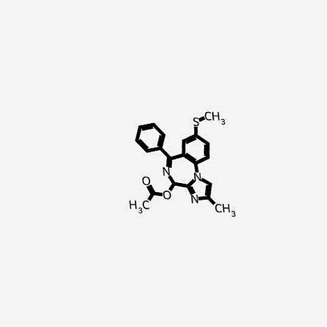 CSc1ccc2c(c1)C(c1ccccc1)=NC(OC(C)=O)c1nc(C)cn1-2